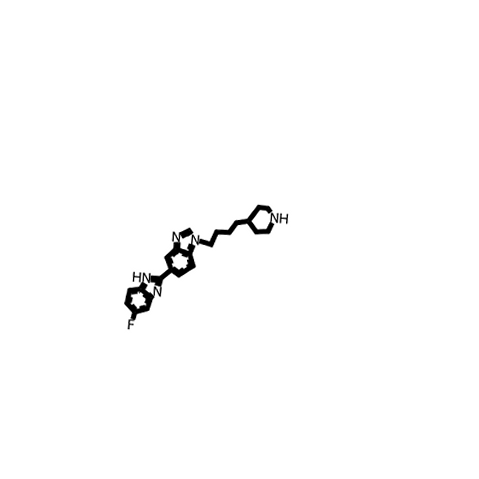 Fc1ccc2[nH]c(-c3ccc4c(c3)ncn4CCCCC3CCNCC3)nc2c1